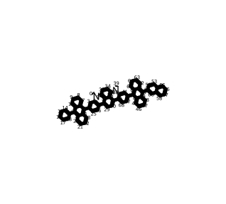 CN1c2cc(-c3c4ccccc4c(-c4ccccc4)c4ccccc34)ccc2-c2ccc3c4c(ccc1c24)N(C)c1cc(-c2c4ccccc4c(-c4ccc5ccccc5c4)c4ccccc24)ccc1-3